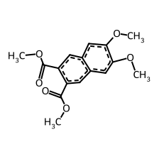 COC(=O)c1cc2cc(OC)c(OC)cc2cc1C(=O)OC